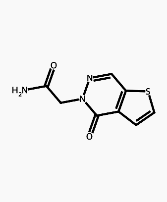 NC(=O)Cn1ncc2sccc2c1=O